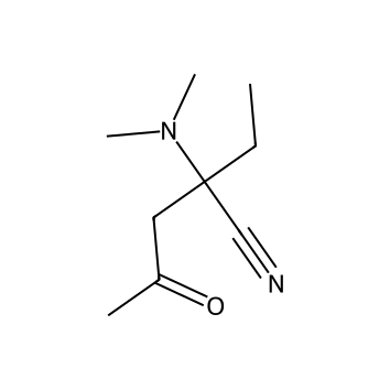 CCC(C#N)(CC(C)=O)N(C)C